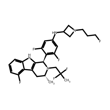 C[C@@H]1Cc2c([nH]c3cccc(F)c23)[C@@H](c2c(F)cc(NC3CN(CCCF)C3)cc2F)N1CC(C)(F)F